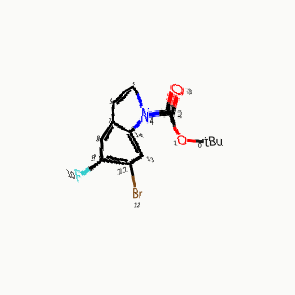 CC(C)(C)OC(=O)n1ccc2cc(F)c(Br)cc21